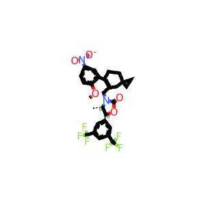 COc1ccc([N+](=O)[O-])cc1C1=C(CN2C(=O)O[C@H](c3cc(C(F)(F)F)cc(C(F)(F)F)c3)[C@@H]2C)CC2(CC1)CC2